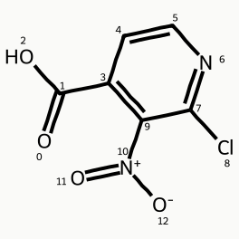 O=C(O)c1ccnc(Cl)c1[N+](=O)[O-]